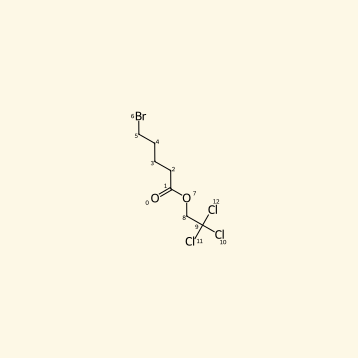 O=C(CCCCBr)OCC(Cl)(Cl)Cl